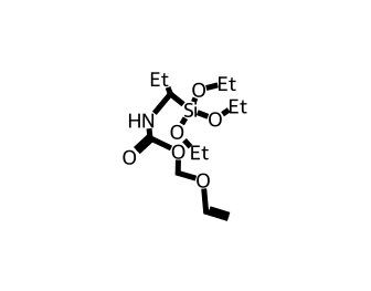 C=COCOC(=O)NC(CC)[Si](OCC)(OCC)OCC